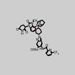 COc1cc2nn([C@H]3CC[C@H](CN4C5CCC4CN(c4cccc6c4n(C)c(=O)n6C4CCC(=O)NC4=O)C5)CC3)cc2cc1NC(=O)c1cccc(C(F)(F)F)n1